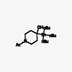 CCC[CH2][Sn]([CH2]CCC)([CH2]CCC)[C]1(O)CCN(C(C)=O)CC1